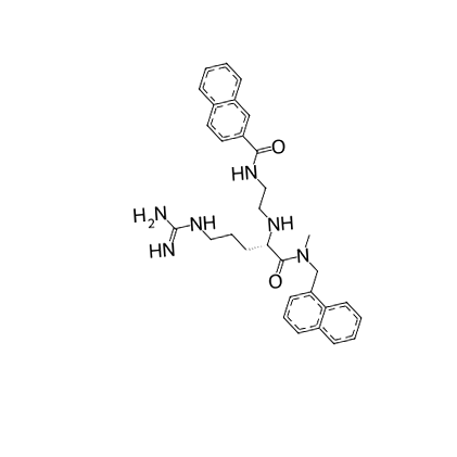 CN(Cc1cccc2ccccc12)C(=O)[C@H](CCCNC(=N)N)NCCNC(=O)c1ccc2ccccc2c1